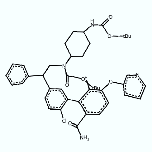 CC(C)(C)OC(=O)NC1CCC(N(CC(c2ccccc2)c2ccc(Cl)c(-c3c(C(N)=O)ccc(Oc4cccnc4)c3F)c2)C(=O)OC(C)(C)C)CC1